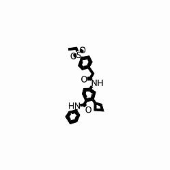 CCS(=O)(=O)c1ccc(CC(=O)Nc2ccc(C(=O)Nc3ccccc3)c(C3CCC3)c2)cc1